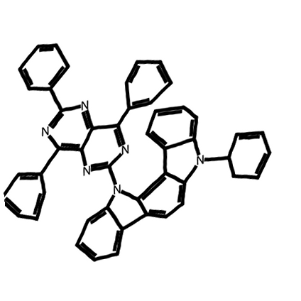 C1=CCC(n2c3ccccc3c3c4c(ccc32)c2ccccc2n4-c2nc(-c3ccccc3)c3nc(-c4ccccc4)nc(-c4ccccc4)c3n2)C=C1